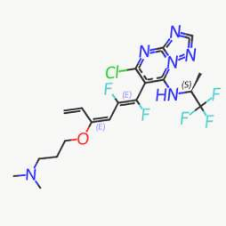 C=C/C(=C\C(F)=C(/F)c1c(Cl)nc2ncnn2c1N[C@@H](C)C(F)(F)F)OCCCN(C)C